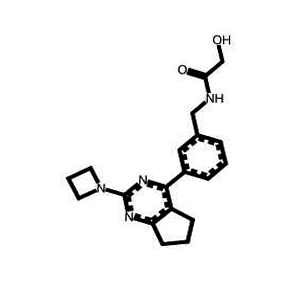 O=C(CO)NCc1cccc(-c2nc(N3CCC3)nc3c2CCC3)c1